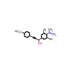 CC(C)c1cc(C(O)C#Cc2ccc(C(=O)O)cc2)cc(C(C)C)c1N(C)C